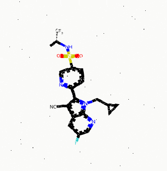 C[C@@H](NS(=O)(=O)c1ccc(-c2c(C#N)c3cc(F)cnc3n2CC2CC2)nc1)C(F)(F)F